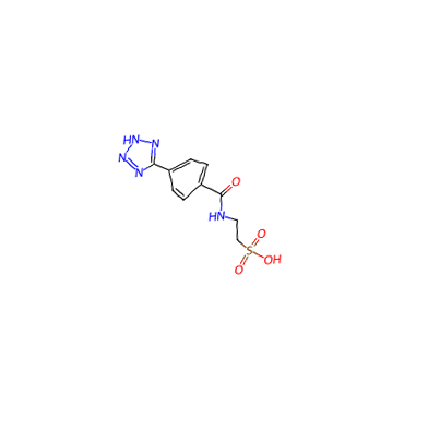 O=C(NCCS(=O)(=O)O)c1ccc(-c2nn[nH]n2)cc1